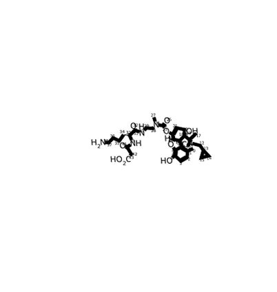 Cc1ccc(O)c2c1[C@]13CCN(CC4CC4)C(C)[C@]1(O)CC=C(OC(=O)N(C)CCNC(=O)[C@@H](CCCCN)NC(=O)CC(=O)O)[C@@H]3O2